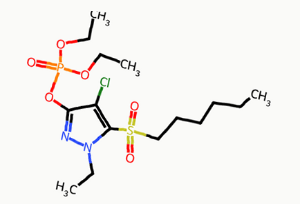 CCCCCCS(=O)(=O)c1c(Cl)c(OP(=O)(OCC)OCC)nn1CC